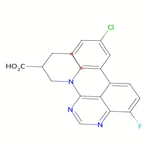 O=C(O)C1CCCN(c2ncnc3c(F)ccc(-c4cccc(Cl)c4)c23)C1